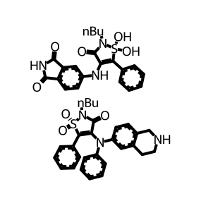 CCCCN1C(=O)C(N(c2ccccc2)c2ccc3c(c2)CCNC3)=C(c2ccccc2)S1(=O)=O.CCCCN1C(=O)C(Nc2ccc3c(c2)C(=O)NC3=O)=C(c2ccccc2)S1(O)O